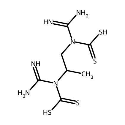 CC(CN(C(=N)N)C(=S)S)N(C(=N)N)C(=S)S